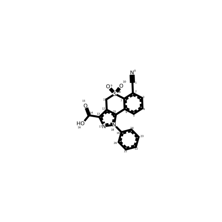 N#Cc1cccc2c1S(=O)(=O)Cc1c(C(=O)O)nn(-c3ccccc3)c1-2